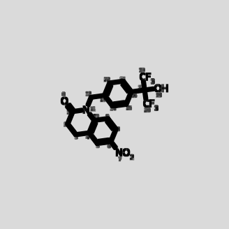 O=C1CCc2cc([N+](=O)[O-])ccc2N1Cc1ccc(C(O)(C(F)(F)F)C(F)(F)F)cc1